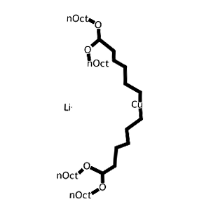 CCCCCCCCOC(CCCC[CH2][Cu][CH2]CCCCC(OCCCCCCCC)OCCCCCCCC)OCCCCCCCC.[Li]